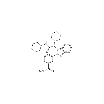 COC(=O)c1cccc(-c2nc3ccccc3n2C(C(=O)NC2CCCCC2)C2CCCCC2)c1